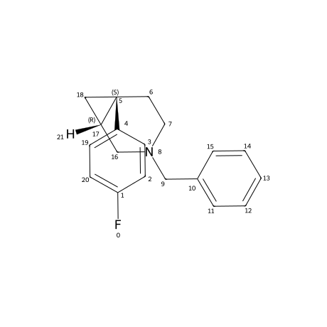 Fc1ccc([C@@]23CCN(Cc4ccccc4)C[C@@H]2C3)cc1